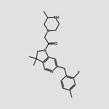 Cc1ccc(Cc2cc3c(cn2)C(C)(C)CN3C(=O)CN2CCNC(C)C2)c(F)c1